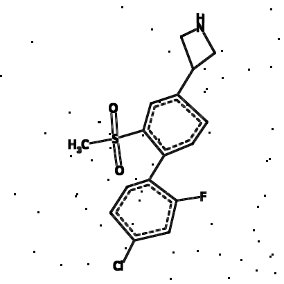 CS(=O)(=O)c1cc(C2CNC2)ccc1-c1ccc(Cl)cc1F